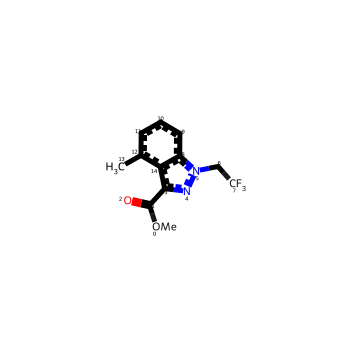 COC(=O)c1nn(CC(F)(F)F)c2cccc(C)c12